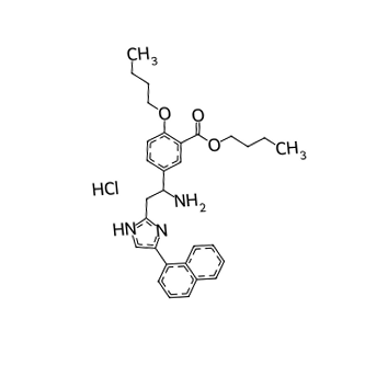 CCCCOC(=O)c1cc(C(N)Cc2nc(-c3cccc4ccccc34)c[nH]2)ccc1OCCCC.Cl